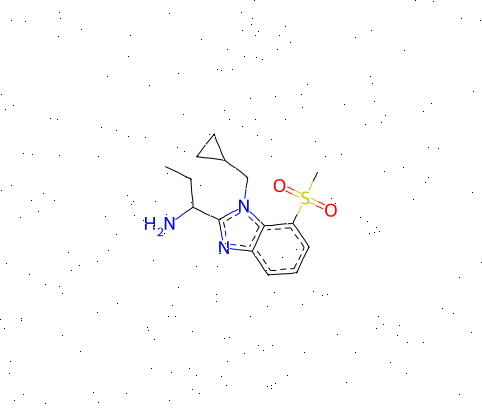 CCC(N)c1nc2cccc(S(C)(=O)=O)c2n1CC1CC1